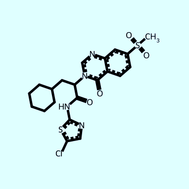 CS(=O)(=O)c1ccc2c(=O)n(C(CC3CCCCC3)C(=O)Nc3ncc(Cl)s3)cnc2c1